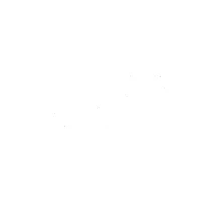 CCC(C(=O)N1CCCC[C@H]1C(=O)O[C@H](CCc1ccc(OC)c(OC)c1)c1cccc(OCCC2CCOCC2)c1)c1cc(OC)c(OC)c(OC)c1